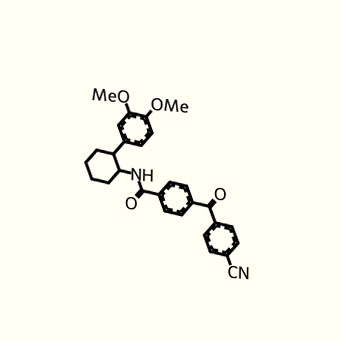 COc1ccc(C2CCCCC2NC(=O)c2ccc(C(=O)c3ccc(C#N)cc3)cc2)cc1OC